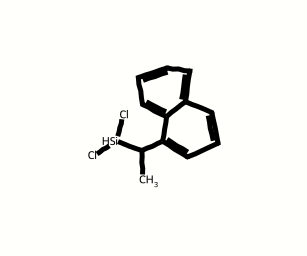 CC(c1cccc2ccccc12)[SiH](Cl)Cl